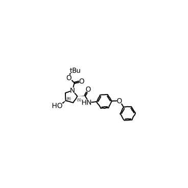 CC(C)(C)OC(=O)N1C[C@H](O)C[C@H]1C(=O)Nc1ccc(Oc2ccccc2)cc1